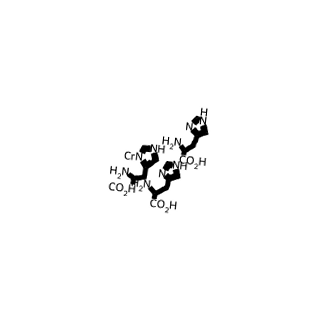 NC(Cc1c[nH]cn1)C(=O)O.NC(Cc1c[nH]cn1)C(=O)O.NC(Cc1c[nH]cn1)C(=O)O.[Cr]